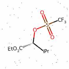 CCOC(=O)[C@H](OS(=O)(=O)C(F)(F)F)C(C)C